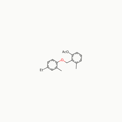 CCc1ccc(OCc2c(C)cccc2OC(C)=O)c(C)c1